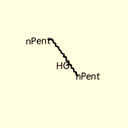 CCCCC/C=C\CCCCCCCC/C=C/CCC(O)CCCC/C=C/CCCCC